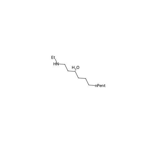 CCCCCCCCCCCNCC.O